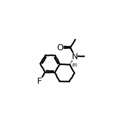 CC(=O)N(C)[C@@H]1CCCc2c(F)cccc21